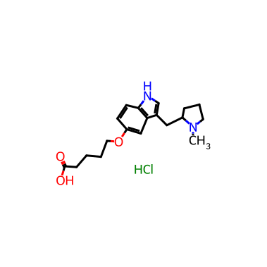 CN1CCCC1Cc1c[nH]c2ccc(OCCCCC(=O)O)cc12.Cl